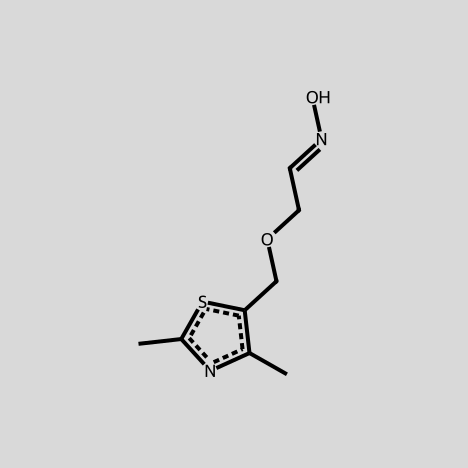 Cc1nc(C)c(COCC=NO)s1